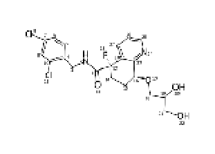 O=C(NCc1ccc(Cl)cc1Cl)[C@]1(F)CC[C@H](OCC(O)CO)c2ncccc21